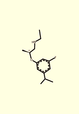 CCNC[C@H](C)Oc1cc(F)cc(C(C)C)c1